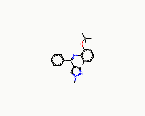 Cc1cccc(O[SiH](C)C)c1N=C(c1ccccc1)c1cnn(C)c1